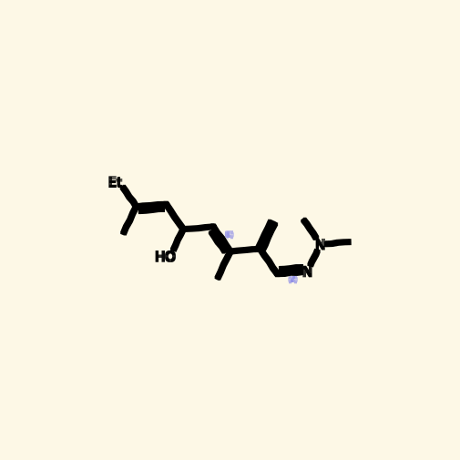 C=C(/C=N\N(C)C)/C(C)=C/C(O)C=C(C)CC